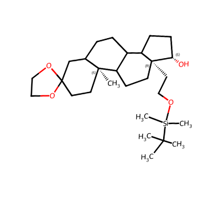 CC(C)(C)[Si](C)(C)OCC[C@]12CCC3C(CCC4CC5(CC[C@@]43C)OCCO5)C1CC[C@@H]2O